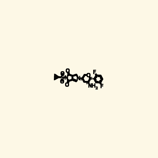 N[C@H]1C[C@@H](N2C=C3C(=O)N(S(=O)(=O)C4CC4)C(=O)C3C2)CO[C@@H]1c1cc(F)ccc1F